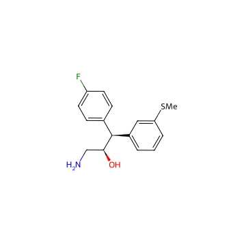 CSc1cccc([C@H](c2ccc(F)cc2)[C@@H](O)CN)c1